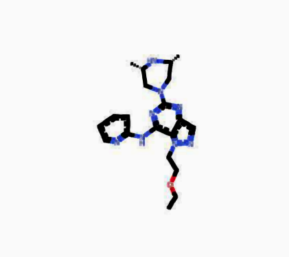 CCOCCn1ncc2nc(N3C[C@@H](C)N[C@@H](C)C3)nc(Nc3ccccn3)c21